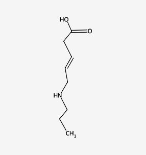 CCCNCC=CCC(=O)O